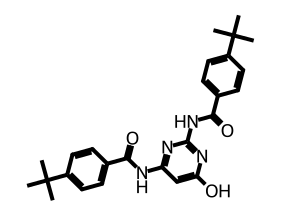 CC(C)(C)c1ccc(C(=O)Nc2cc(O)nc(NC(=O)c3ccc(C(C)(C)C)cc3)n2)cc1